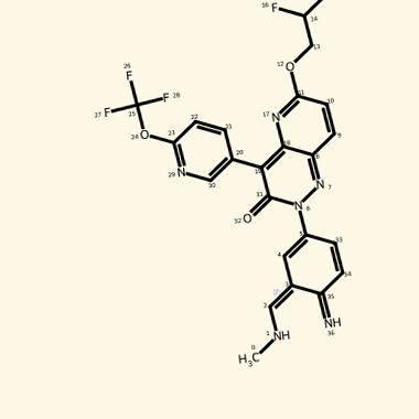 CN/C=C1/C=C(n2nc3ccc(OCC(F)F)nc3c(-c3ccc(OC(F)(F)F)nc3)c2=O)C=CC1=N